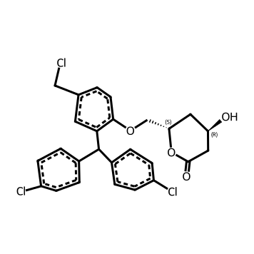 O=C1C[C@H](O)C[C@@H](COc2ccc(CCl)cc2C(c2ccc(Cl)cc2)c2ccc(Cl)cc2)O1